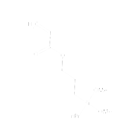 C=CC(=O)OCCC[Si](CCC)(OC)OC